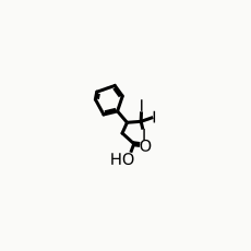 O=C(O)CC(c1ccccc1)C(I)(I)I